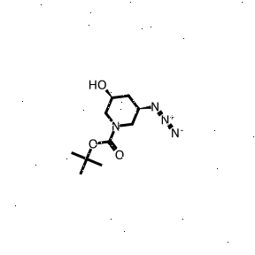 CC(C)(C)OC(=O)N1C[C@@H](O)C[C@@H](N=[N+]=[N-])C1